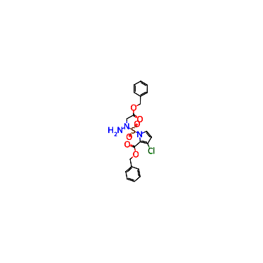 NN(CC(=O)OCc1ccccc1)S(=O)(=O)n1ccc(Cl)c1C(=O)OCc1ccccc1